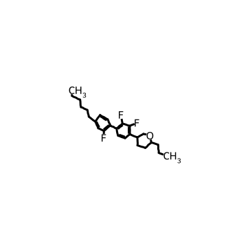 CCCCCCc1ccc(-c2ccc(C3CCC(CCC)OC3)c(F)c2F)c(F)c1